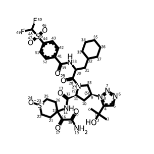 CC(C)(O)c1cnnn1[C@H]1C[C@@H](C(=O)NC2(C(=O)C(N)=O)CC[S+]([O-])CC2)N(C(=O)C(CC2CCCCC2)NC(=O)c2ccc(S(=O)(=O)C(F)F)cc2)C1